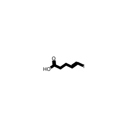 O=C(O)CCC=CI